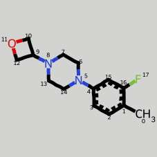 Cc1ccc(N2CCN(C3COC3)CC2)cc1F